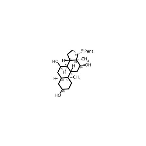 CCC[C@@H](C)[C@H]1CC[C@H]2[C@@H]3[C@H](O)C[C@@H]4C[C@H](O)CC[C@]4(C)[C@H]3C[C@H](O)[C@]12C